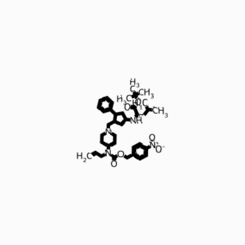 C=CCN(C(=O)OCc1ccc([N+](=O)[O-])cc1)C1CCN(CC2CC(N[C@@H](CC(C)C)C(=O)OC(C)(C)C)CC2c2ccccc2)CC1